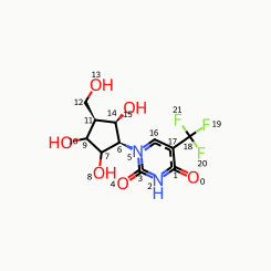 O=c1[nH]c(=O)n([C@H]2C(O)C(O)[C@@H](CO)[C@H]2O)cc1C(F)(F)F